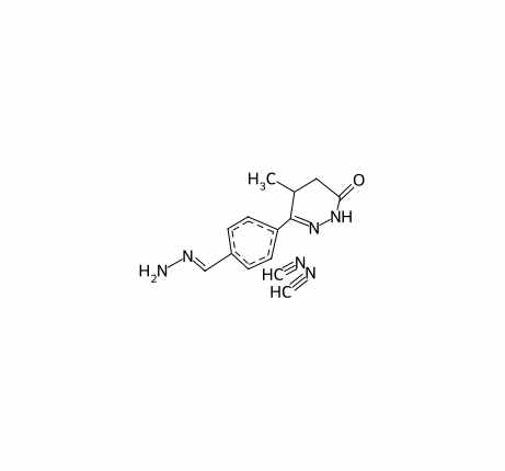 C#N.C#N.CC1CC(=O)NN=C1c1ccc(C=NN)cc1